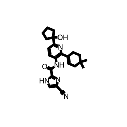 CC1(C)CC=C(c2nc(C3(O)CCCC3)ccc2NC(=O)c2nc(C#N)c[nH]2)CC1